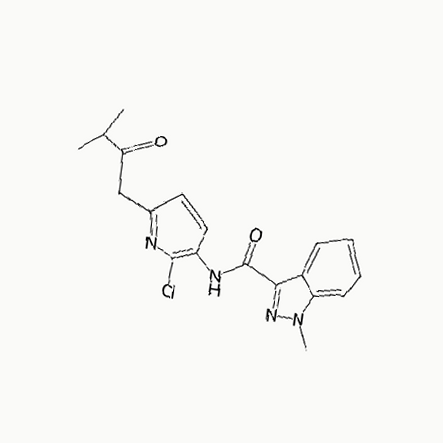 CC(C)C(=O)Cc1ccc(NC(=O)c2nn(C)c3ccccc23)c(Cl)n1